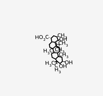 C[C@@H]1C[C@@H](C(=O)O)C2CC[C@]3(C)C(=CCC4[C@@]5(C)C[C@@H](O)[C@H](O)C(C)(C)C5CC[C@]43C)[C@@H]2[C@]1(C)O